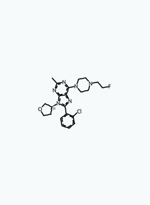 Cc1nc(N2CCN(CCF)CC2)c2nc(-c3ccccc3Cl)n([C@H]3CCOC3)c2n1